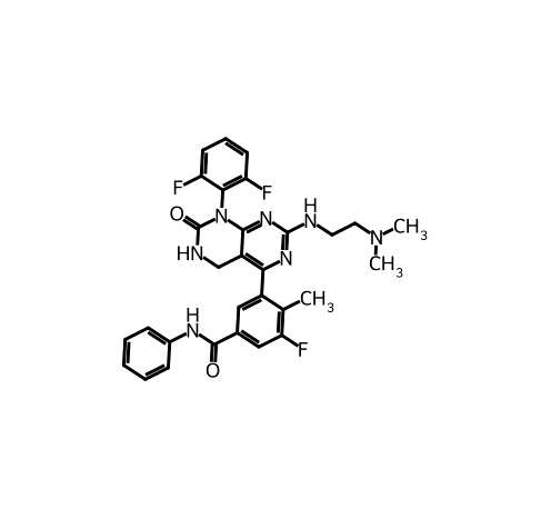 Cc1c(F)cc(C(=O)Nc2ccccc2)cc1-c1nc(NCCN(C)C)nc2c1CNC(=O)N2c1c(F)cccc1F